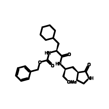 COC[C@H](C[C@@H]1CCNC1=O)NC(=O)[C@H](CC1CCCCC1)NC(=O)OCc1ccccc1